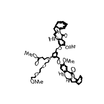 COCCOCCOCCN(CCCC(=O)OC)c1cc(COc2cc3c(cc2OC)C(=O)N2c4ccccc4CC2CN3)cc(COc2cc3c(cc2OC)C(=O)N2c4ccccc4C[C@H]2CN3)c1